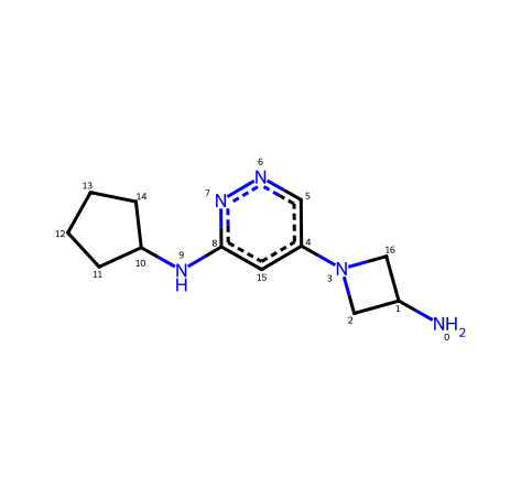 NC1CN(c2cnnc(NC3CCCC3)c2)C1